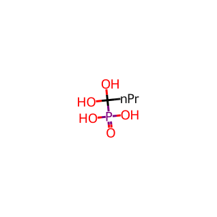 CCCC(O)(O)P(=O)(O)O